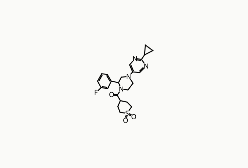 O=C(C1CCS(=O)(=O)CC1)N1CCN(c2cnc(C3CC3)nc2)CC1c1cccc(F)c1